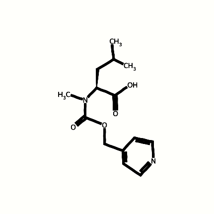 CC(C)C[C@@H](C(=O)O)N(C)C(=O)OCc1ccncc1